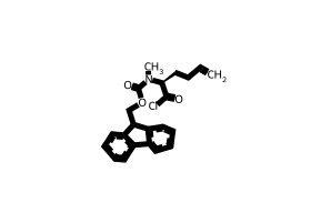 C=CCC[C@@H](C(=O)Cl)N(C)C(=O)OCC1c2ccccc2-c2ccccc21